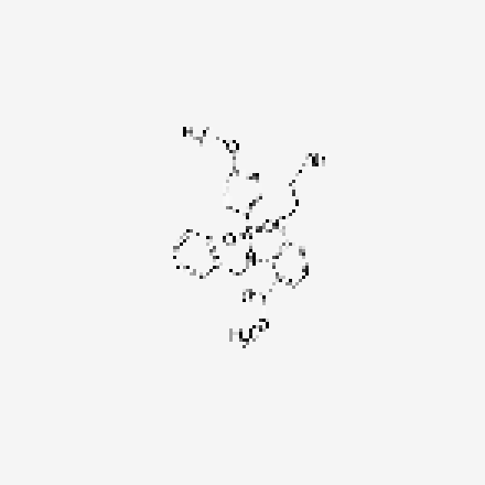 COC(=O)c1cccc(OCCO)c1N(Cc1ccccc1)S(=O)(=O)c1ccc(OC)cc1